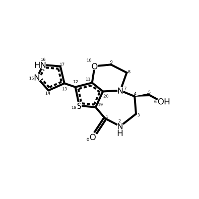 O=C1NC[C@H](CO)N2CCOc3c(-c4cn[nH]c4)sc1c32